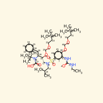 CCNC(=O)Nc1cc(S(=O)(=O)N(CC(C)C)C[C@@H](OCOCC[Si](C)(C)C)[C@H](Cc2ccccc2)N(C(=O)O)C(C)(C)C)ccc1OCOCC[Si](C)(C)C